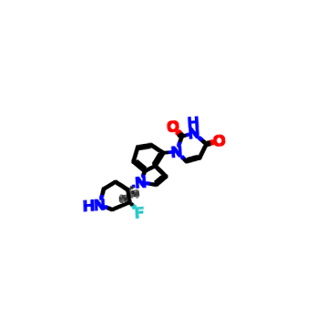 O=c1ccn(-c2cccc3c2ccn3[C@H]2CCNC[C@@H]2F)c(=O)[nH]1